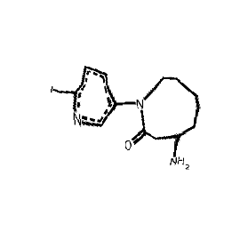 NC1CCCCN(c2ccc(I)nc2)C1=O